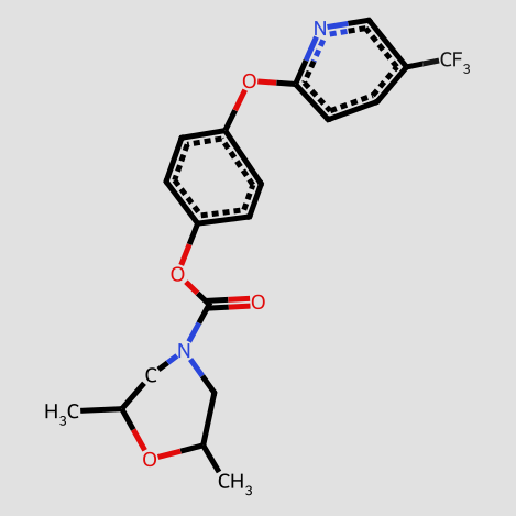 CC1CN(C(=O)Oc2ccc(Oc3ccc(C(F)(F)F)cn3)cc2)CC(C)O1